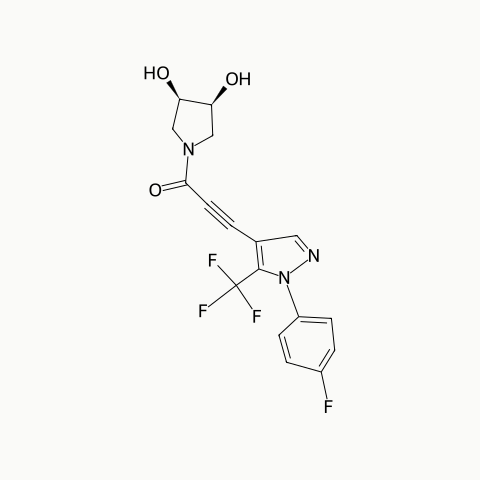 O=C(C#Cc1cnn(-c2ccc(F)cc2)c1C(F)(F)F)N1C[C@@H](O)[C@@H](O)C1